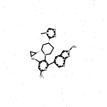 Cn1cnnc1[C@@H]1CCN(c2c(C#N)cc(C(F)(F)F)nc2-c2cnc3nn(C(C)(C)C)cc3c2)[C@H](C2CC2)C1